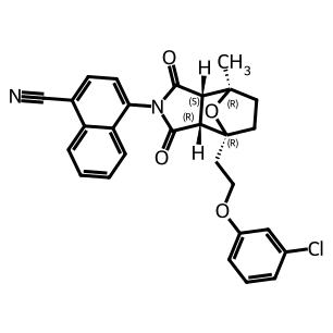 C[C@]12CC[C@](CCOc3cccc(Cl)c3)(O1)[C@@H]1C(=O)N(c3ccc(C#N)c4ccccc34)C(=O)[C@@H]12